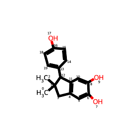 CC1(C)Cc2cc(O)c(O)cc2C1c1ccc(O)cc1